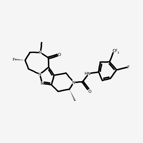 C[C@@H]1Cc2nn3c(c2CN1C(=O)Nc1ccc(F)c(C(F)(F)F)c1)C(=O)N(C)C[C@@H](F)C3